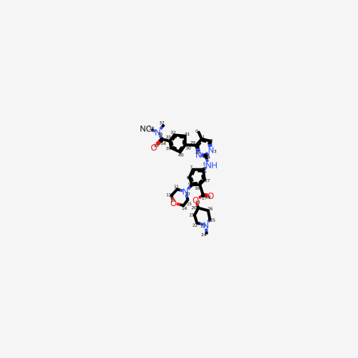 Cc1cnc(Nc2ccc(N3CCOCC3)c(C(=O)OC3CCN(C)CC3)c2)nc1-c1ccc(C(=O)N(C)C#N)cc1